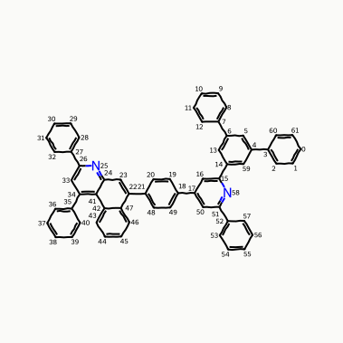 c1ccc(-c2cc(-c3ccccc3)cc(-c3cc(-c4ccc(-c5cc6nc(-c7ccccc7)cc(-c7ccccc7)c6c6ccccc56)cc4)cc(-c4ccccc4)n3)c2)cc1